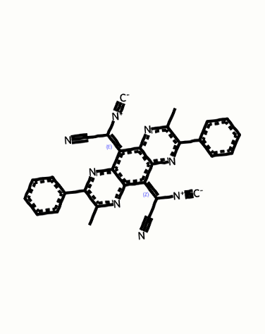 [C-]#[N+]/C(C#N)=c1\c2nc(-c3ccccc3)c(C)nc2/c(=C(/C#N)[N+]#[C-])c2nc(-c3ccccc3)c(C)nc12